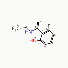 C=C(NCC(F)(F)F)c1c(C)cccc1O